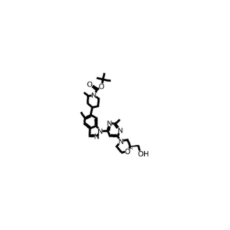 Cc1nc(N2CCO[C@H](CO)C2)cc(-n2ncc3cc(C)c(C4CCN(C(=O)OC(C)(C)C)C(C)C4)cc32)n1